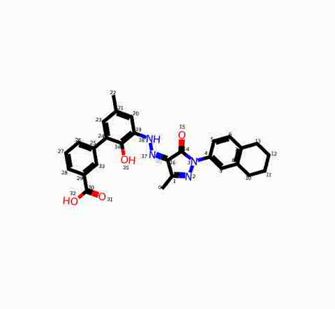 CC1=NN(c2ccc3c(c2)CCCC3)C(=O)/C1=N\Nc1cc(C)cc(-c2cccc(C(=O)O)c2)c1O